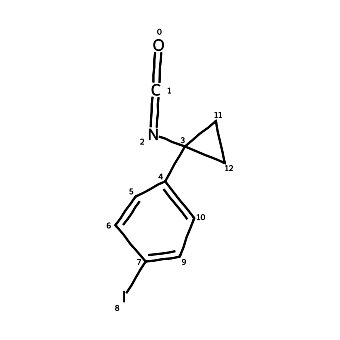 O=C=NC1(c2ccc(I)cc2)CC1